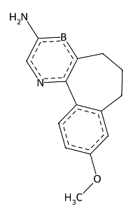 COc1ccc2c(c1)CCCc1bc(N)cnc1-2